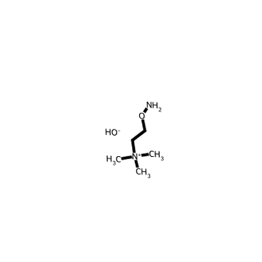 C[N+](C)(C)CCON.[OH-]